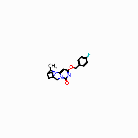 CC1C2CC3(C2)Cn2c(cc(OCc4ccc(F)cc4)nc2=O)N13